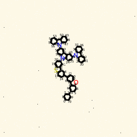 c1ccc(-c2ccc3oc4ccc(-c5ccc6sc7ccc(-n8c9ccc(-n%10c%11ccccc%11c%11ccccc%11%10)cc9c9cc(-n%10c%11ccccc%11c%11ccccc%11%10)ccc98)cc7c6c5)cc4c3c2)cc1